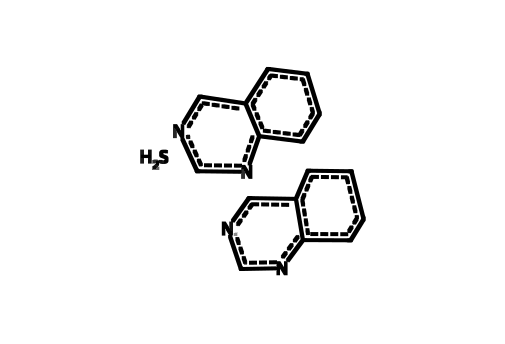 S.c1ccc2ncncc2c1.c1ccc2ncncc2c1